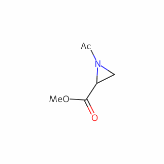 COC(=O)C1CN1C(C)=O